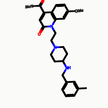 CNC(=O)c1cc(=O)n(CCN2CCC(NCc3cccc(C)c3)CC2)c2cc(OC)ccc12